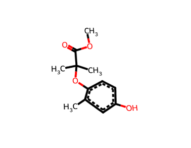 COC(=O)C(C)(C)Oc1ccc(O)cc1C